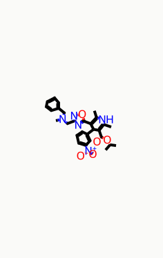 CC1=C(C(=O)OC(C)C)C(c2cccc([N+](=O)[O-])c2)C(c2nc(CN(C)Cc3ccccc3)no2)=C(C)N1